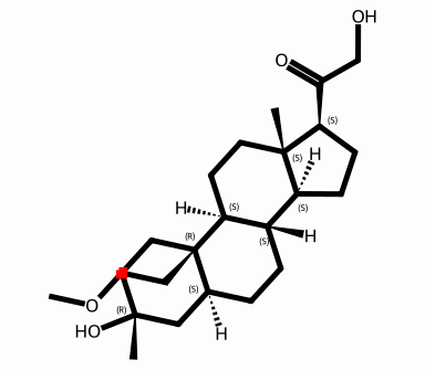 COCC[C@]12CC[C@@](C)(O)C[C@@H]1CC[C@H]1[C@@H]3CC[C@H](C(=O)CO)[C@@]3(C)CC[C@@H]12